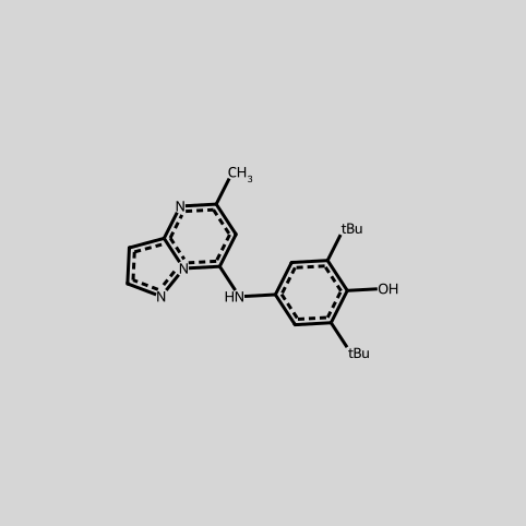 Cc1cc(Nc2cc(C(C)(C)C)c(O)c(C(C)(C)C)c2)n2nccc2n1